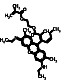 C=C(C)C(=O)OCCOC(=O)/C(C)=C(/C=C\CC)c1c2cc(C)/c(=N/CC)cc-2oc2cc(NCC)c(C)cc12